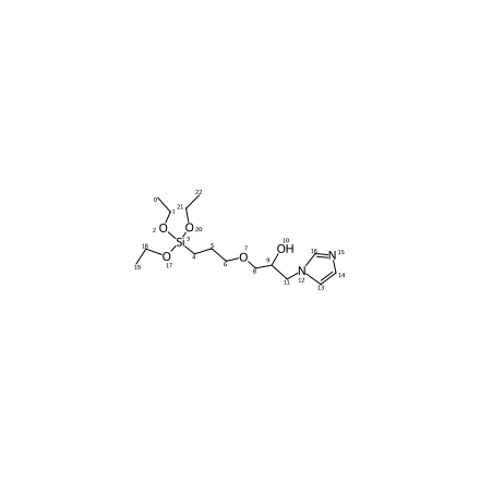 CCO[Si](CCCOCC(O)Cn1ccnc1)(OCC)OCC